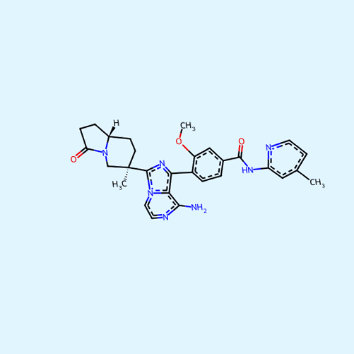 COc1cc(C(=O)Nc2cc(C)ccn2)ccc1-c1nc([C@]2(C)CC[C@H]3CCC(=O)N3C2)n2ccnc(N)c12